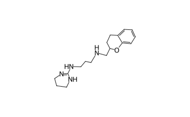 c1ccc2c(c1)CCC(CNCCCNC1=NCCCN1)O2